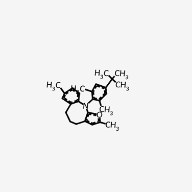 Cc1ccc2c(c1)CCCc1cc(C)oc1N2c1c(C)cc(C(C)(C)C)cc1C